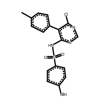 CCCCc1ccc(S(=O)(=O)Nc2ncnc(Cl)c2-c2ccc(C)cc2)cc1